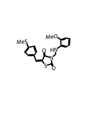 COc1ccccc1NCN1C(=O)SC(=Cc2ccc(SC)cc2)C1=O